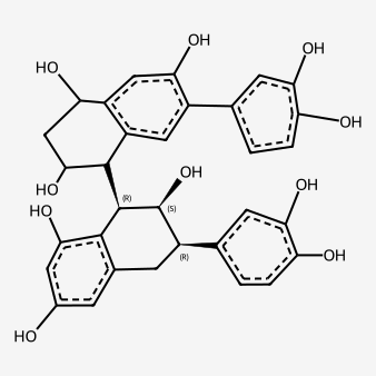 Oc1cc(O)c2c(c1)C[C@H](c1ccc(O)c(O)c1)[C@H](O)[C@@H]2C1c2cc(-c3ccc(O)c(O)c3)c(O)cc2C(O)CC1O